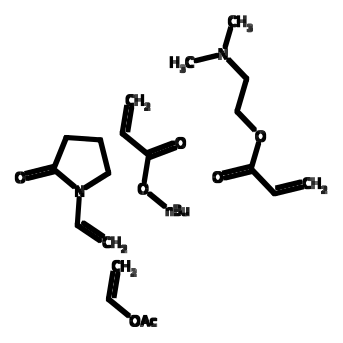 C=CC(=O)OCCCC.C=CC(=O)OCCN(C)C.C=CN1CCCC1=O.C=COC(C)=O